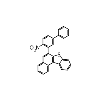 O=[N+]([O-])c1ccc(-c2ccccc2)cc1-c1cc2ccccc2c2c1sc1ccccc12